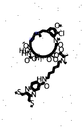 COc1cc2cc(c1Cl)N(C)C(=O)C[C@H](OC(=O)[C@@H](C)N(C)C(=O)CCCCCNC(=O)c1ccc3nc(CSC)c(CSC)nc3c1)[C@]1(C)OC1[C@H](C)[C@@H]1C[C@@](O)(NC(=O)O1)[C@H](OC)/C=C/C=C(\C)C2